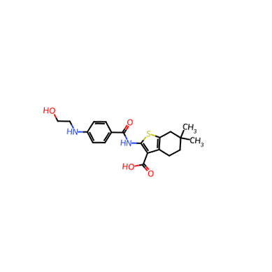 CC1(C)CCc2c(sc(NC(=O)c3ccc(NCCO)cc3)c2C(=O)O)C1